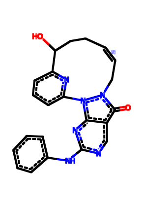 O=c1c2cnc(Nc3ccccc3)nc2n2n1C/C=C\CCC(O)c1cccc-2n1